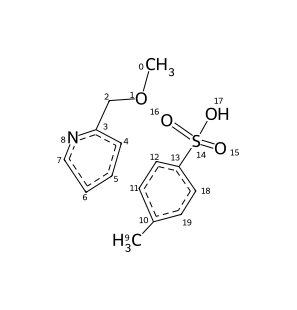 COCc1ccccn1.Cc1ccc(S(=O)(=O)O)cc1